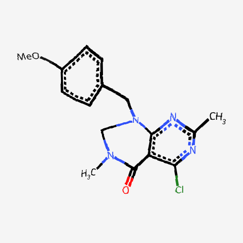 COc1ccc(CN2CN(C)C(=O)c3c(Cl)nc(C)nc32)cc1